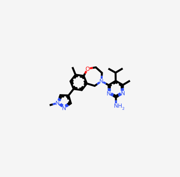 Cc1cc(-c2cnn(C)c2)cc2c1OCCN(c1nc(N)nc(C)c1C(C)C)C2